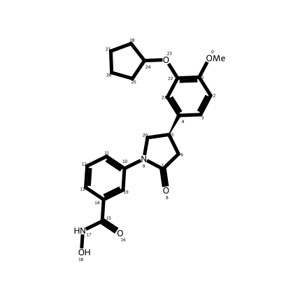 COc1ccc([C@H]2CC(=O)N(c3cccc(C(=O)NO)c3)C2)cc1OC1CCCC1